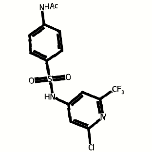 CC(=O)Nc1ccc(S(=O)(=O)Nc2cc(Cl)nc(C(F)(F)F)c2)cc1